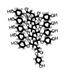 CCC(C)(CC(C)(CC(C)(CC(C)(CC(C)(CC(C)(CC(C)(CC(C)(CC(C)(CC(C)(C)C(=O)Oc1ccc(O)cc1)C(=O)Oc1ccc(O)cc1)C(=O)Oc1ccc(O)cc1)C(=O)Oc1ccc(O)cc1)C(=O)Oc1ccc(O)cc1)C(=O)Oc1ccc(O)cc1)C(=O)Oc1ccc(O)cc1)C(=O)Oc1ccc(O)cc1)C(=O)Oc1ccc(O)cc1)C(=O)Oc1ccc(O)cc1